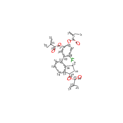 C=C(C)C(=O)Oc1cc(F)c(-c2cccc3c2CCC3OC(=O)C(=C)C)cc1OC(=O)C(=C)C